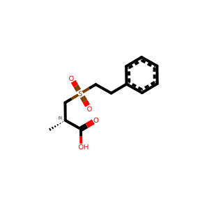 C[C@H](CS(=O)(=O)CCc1ccccc1)C(=O)O